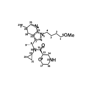 COCCCCn1cc([C@@H](C)N(C(=O)[C@H]2CNCCO2)C2CC2)c2c1N=CC(F)C2